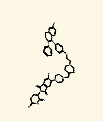 O=C1CCC(N2C(=O)c3cc(F)c(N4CCN(CC5CCN(CCOc6ccc([C@@H]7c8ccc(O)cc8CC[C@@H]7c7ccccc7)cc6)CC5)CC4)cc3C2=O)C(=O)N1